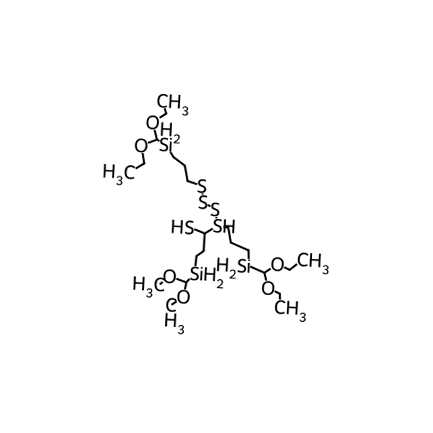 CCOC(OCC)[SiH2]CCCSSS[SH](CCC[SiH2]C(OCC)OCC)C(S)CC[SiH2]C(OC)OC